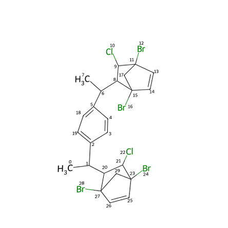 CC(c1ccc(C(C)C2C(Cl)C3(Br)C=CC2(Br)C3)cc1)C1C(Cl)C2(Br)C=CC1(Br)C2